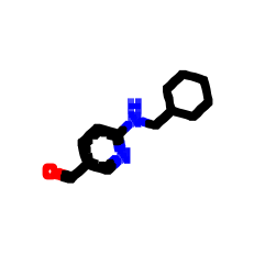 O=Cc1ccc(NCC2CCCCC2)nc1